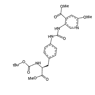 COC(=O)c1cc(OC)ncc1NC(=O)Nc1ccc(C[C@H](NC(=O)OC(C)(C)C)C(=O)OC)cc1